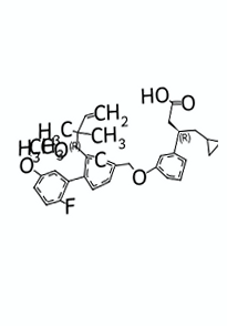 C=CC(C)(C)[C@@H](OC)c1cc(COc2cccc([C@@H](CC(=O)O)CC3CC3)c2)ccc1-c1cc(OC)ccc1F